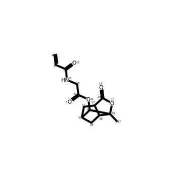 C=CC(=O)NCC(=O)OC1C2CC3C(=O)OC1(C)C3C2